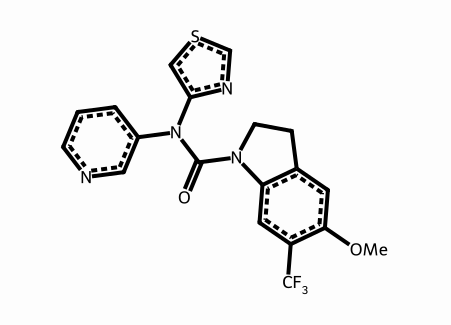 COc1cc2c(cc1C(F)(F)F)N(C(=O)N(c1cccnc1)c1cscn1)CC2